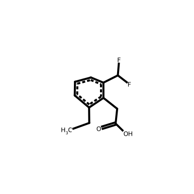 CCc1cccc(C(F)F)c1CC(=O)O